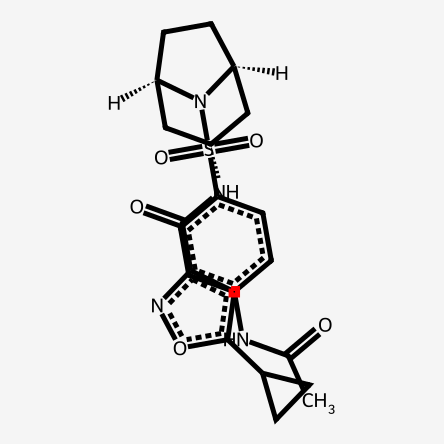 CC(=O)Nc1ccc(S(=O)(=O)N2[C@@H]3CC[C@H]2C[C@H](NC(=O)c2cc(C4CC4)on2)C3)cc1